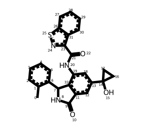 Cc1ccccc1C1NC(=O)c2cc(C3(O)CC3)cc(NC(=O)c3nsc4ccccc34)c21